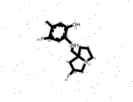 Cc1cc(O)c(NCC23CCCN2CC(F)C3)cc1F